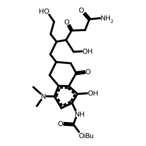 CC(C)COC(=O)Nc1cc(N(C)C)c2c(c1O)C(=O)CC(CC(CCO)C(CO)C(=O)CC(N)=O)C2